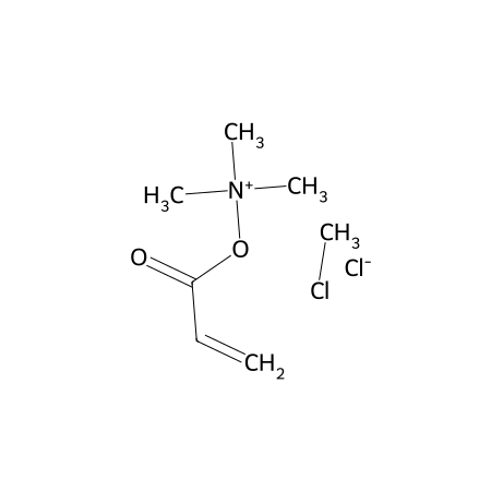 C=CC(=O)O[N+](C)(C)C.CCl.[Cl-]